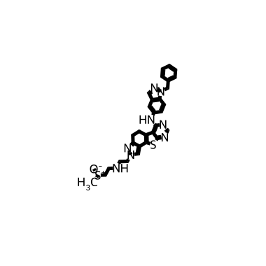 C[S+]([O-])CCNCCn1cc2c(n1)CCc1c-2sc2ncnc(Nc3ccc4c(cnn4Cc4ccccc4)c3)c12